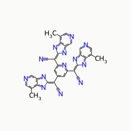 Cc1cncc2c1=N/C(=C(\C#N)c1cc(/C(C#N)=C3\N=c4cncc(C)c4=N3)nc(/C(C#N)=C3\N=c4cncc(C)c4=N3)c1)N=2